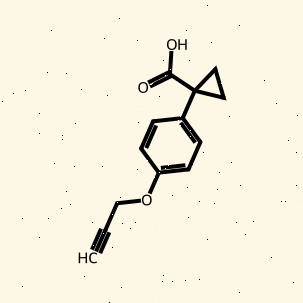 C#CCOc1ccc(C2(C(=O)O)CC2)cc1